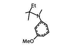 CCC(C)(C)N(C)c1cccc(OC)c1